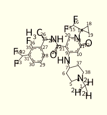 [2H]C([2H])([2H])N1CCC(Nc2cc(=O)n(C3(C(F)F)CC3)cc2C(=O)N[C@H](C)c2cccc(C(F)F)c2F)CC1